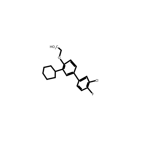 O=C(O)COc1ccc(-c2ccc(F)c(Cl)c2)cc1C1CCCCC1